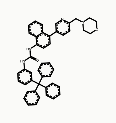 O=C(Nc1cccc(C(c2ccccc2)(c2ccccc2)c2ccccc2)c1)Nc1ccc(-c2ccc(CN3CCOCC3)nc2)c2ccccc12